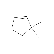 CC1(C)C=CCC1